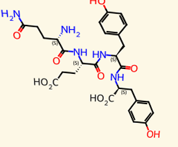 NC(=O)CC[C@H](N)C(=O)N[C@@H](CCC(=O)O)C(=O)N[C@@H](Cc1ccc(O)cc1)C(=O)N[C@@H](Cc1ccc(O)cc1)C(=O)O